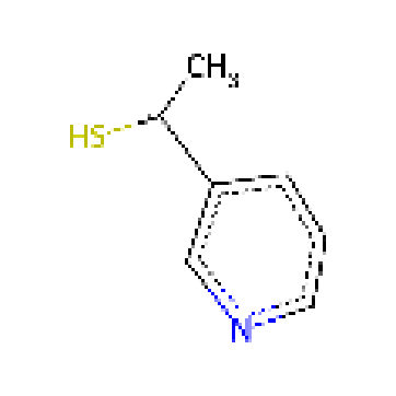 C[C](S)c1cccnc1